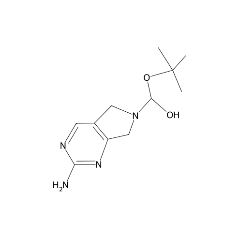 CC(C)(C)OC(O)N1Cc2cnc(N)nc2C1